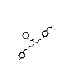 CCOC(Cc1ccc(OCCN(CCOCc2ccc(F)cc2)C(=O)NC2CCCCC2)cc1)C(=O)O